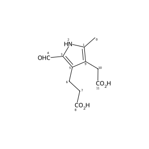 Cc1[nH]c(C=O)c(CCC(=O)O)c1CC(=O)O